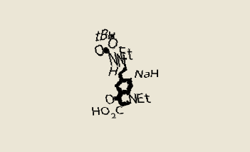 CCN(CCc1ccc2c(c1)c(=O)c(C(=O)O)cn2CC)NC(=O)OC(C)(C)C.[NaH]